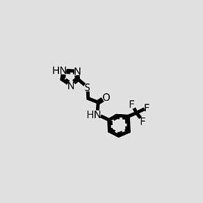 O=C(CSc1nc[nH]n1)Nc1cccc(C(F)(F)F)c1